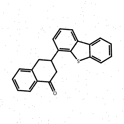 O=C1CC(c2cccc3c2sc2ccccc23)Cc2ccccc21